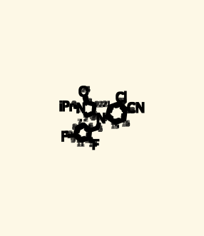 CC(C)N1C[C@@H](N(Cc2ccc(F)cc2F)c2ccc(C#N)c(Cl)c2)CC1=O